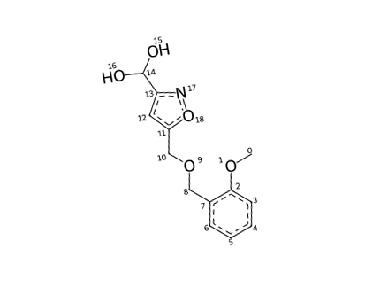 COc1ccccc1COCc1cc(C(O)O)no1